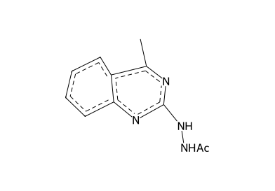 CC(=O)NNc1nc(C)c2ccccc2n1